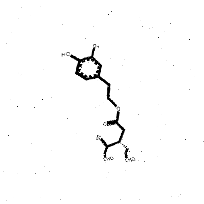 CCC(C=O)[C@@H](CC=O)CC(=O)OCCc1ccc(O)c(O)c1